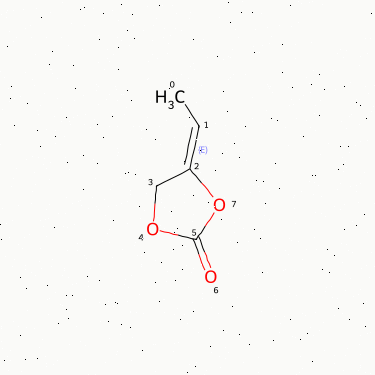 C/C=C1\COC(=O)O1